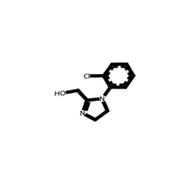 OCC1=NCCN1c1ccccc1Cl